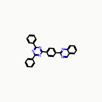 c1ccc(-c2nc(-c3ccccc3)nc(-c3ccc(-c4ncc5ccccc5n4)cc3)n2)cc1